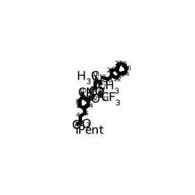 CCCC(C)OC(=O)CCc1ccc(C#N)c(OC[C@@H](C[N+](C)(C)CCC2Cc3ccccc3C2)OC(=O)C(F)(F)F)c1